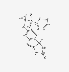 CC1(c2ccc(OC3(S(=O)(=O)c4ccccc4)CC3)cc2)NC(=O)NC1=O